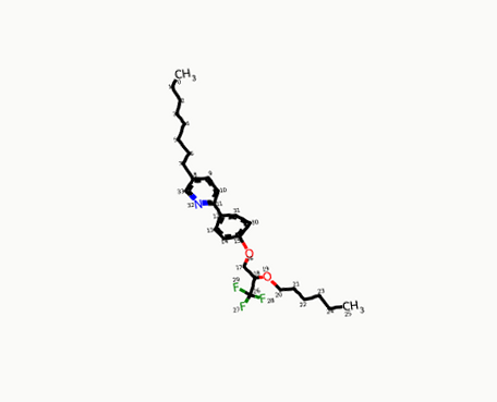 CCCCCCCCc1ccc(-c2ccc(OCC(OCCCCCC)C(F)(F)F)cc2)nc1